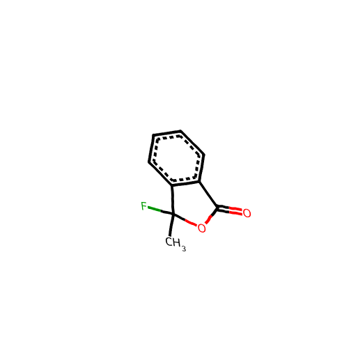 CC1(F)OC(=O)c2ccccc21